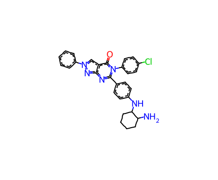 NC1CCCCC1Nc1ccc(-c2nc3nn(-c4ccccc4)cc3c(=O)n2-c2ccc(Cl)cc2)cc1